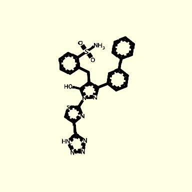 NS(=O)(=O)c1ccccc1Cc1c(-c2cccc(-c3ccccc3)c2)nn(-c2nc(-c3nnn[nH]3)cs2)c1O